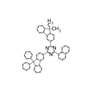 CC1(C)c2ccccc2-c2cc(-c3nc(-c4ccc5c(c4)-c4ccccc4C5(c4ccccc4)c4ccccc4)nc(-c4cccc5ccccc45)n3)ccc21